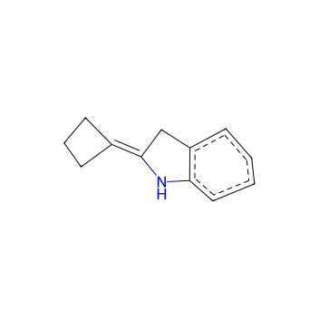 c1ccc2c(c1)CC(=C1CCC1)N2